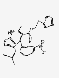 CC1=C(C(=O)OCCc2ccccc2)C(c2cccc([N+](=O)[O-])c2)c2c(CC(C)C)csc2N1